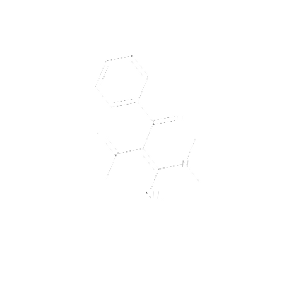 CC(=O)/C(C(=O)c1ccccc1)=C(\N)N(C)C